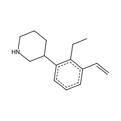 C=Cc1cccc(C2CCCNC2)c1CC